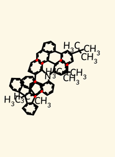 CC(C)(C)c1cc(-c2cccc3cccc(-c4ccccc4N(c4ccccc4-c4ccc5c(c4)C(C)(c4ccccc4)c4ccccc4-5)c4cccc5c4-c4ccccc4C5(C)C)c23)cc(C(C)(C)C)c1